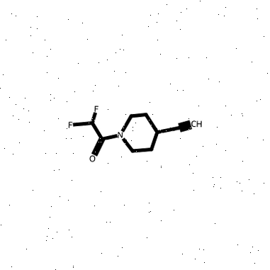 C#CC1CCN(C(=O)C(F)F)CC1